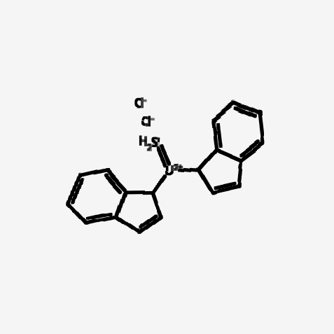 [Cl-].[Cl-].[SiH2]=[U+2]([CH]1C=Cc2ccccc21)[CH]1C=Cc2ccccc21